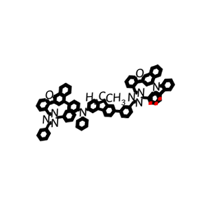 CC1(C)c2ccc(N(c3ccccc3)c3ccc(-c4cc5c(oc6cccc(-c7nc(-c8ccccc8)nc(-c8ccccc8)n7)c65)c5ccccc45)cc3)cc2-c2ccc(-c3cccc(-c4nc(-c5ccccc5)nc(-c5cccc6oc7c8ccccc8c(-n8c9ccccc9c9ccccc98)cc7c56)n4)c3)cc21